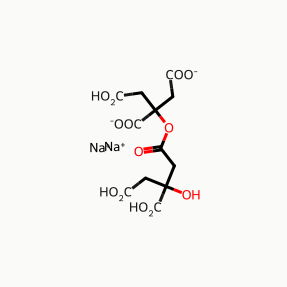 O=C([O-])CC(CC(=O)O)(OC(=O)CC(O)(CC(=O)O)C(=O)O)C(=O)[O-].[Na+].[Na+]